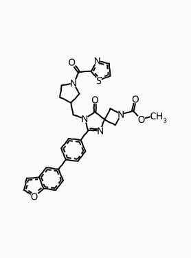 COC(=O)N1CC2(C1)N=C(c1ccc(-c3ccc4occc4c3)cc1)N(CC1CCN(C(=O)c3nccs3)C1)C2=O